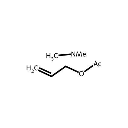 C=CCOC(C)=O.CNC